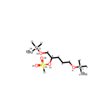 CC(C)(C)[Si](C)(C)OCCCC(CO[Si](C)(C)C(C)(C)C)OS(C)(=O)=O